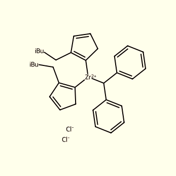 CCC(C)CC1=[C]([Zr+2]([C]2=C(CC(C)CC)C=CC2)[CH](c2ccccc2)c2ccccc2)CC=C1.[Cl-].[Cl-]